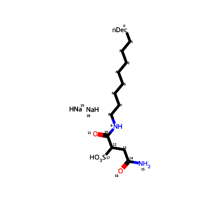 CCCCCCCCCCCCCCCCCCNC(=O)C(CC(N)=O)S(=O)(=O)O.[NaH].[NaH]